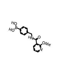 COc1ncccc1C(=O)NCc1ccc(B(O)O)cc1